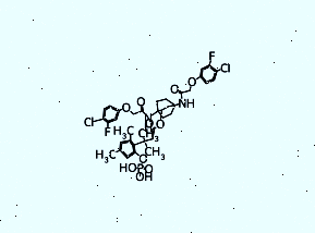 Cc1cc(C)c(C(C)(C)CC(=O)OC2CC3(NC(=O)COc4ccc(Cl)c(F)c4)CCC2(NC(=O)COc2ccc(Cl)c(F)c2)CC3)c(OP(=O)(O)O)c1